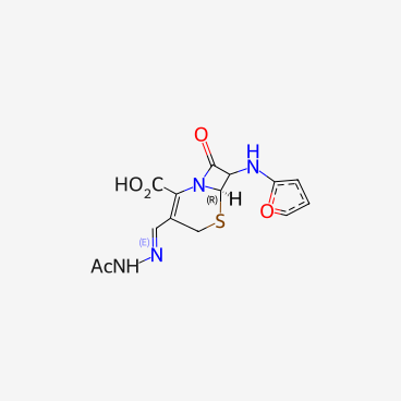 CC(=O)N/N=C/C1=C(C(=O)O)N2C(=O)C(Nc3ccco3)[C@H]2SC1